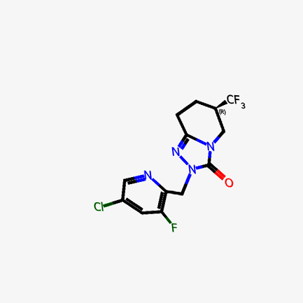 O=c1n(Cc2ncc(Cl)cc2F)nc2n1C[C@H](C(F)(F)F)CC2